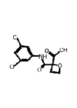 O=C(O)C1(C(=O)Nc2cc(Cl)cc(Cl)c2)CCO1